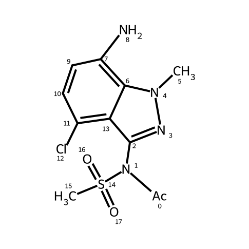 CC(=O)N(c1nn(C)c2c(N)ccc(Cl)c12)S(C)(=O)=O